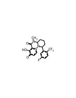 CN1C(=O)c2c(O)c(=O)ccn2N2C(c3cc(F)ccc3C(F)(F)F)CCCC12